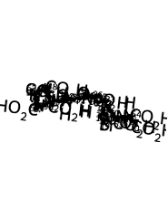 O=C(O)CC[C@@H](NC(=O)N[C@H](CCCCN(Cc1ccc(Br)nc1)C(=O)c1ccc(CNC(=O)CCCCNC(=O)CCC(C(=O)O)N2CCN(CC(=O)O)CCN(CC(=O)O)CCN(CC(=O)O)CC2)cc1)C(=O)O)C(=O)O